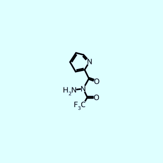 NN(C(=O)c1ccccn1)C(=O)C(F)(F)F